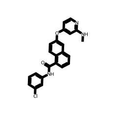 CNc1cc(Oc2ccc3c(C(=O)Nc4cccc(Cl)c4)cccc3c2)ccn1